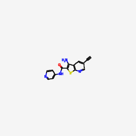 C#Cc1cnc2sc(C(=O)Nc3ccncc3)c(N)c2c1